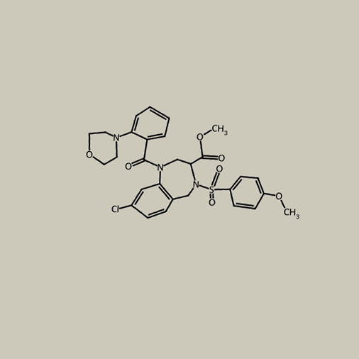 COC(=O)C1CN(C(=O)c2ccccc2N2CCOCC2)c2cc(Cl)ccc2CN1S(=O)(=O)c1ccc(OC)cc1